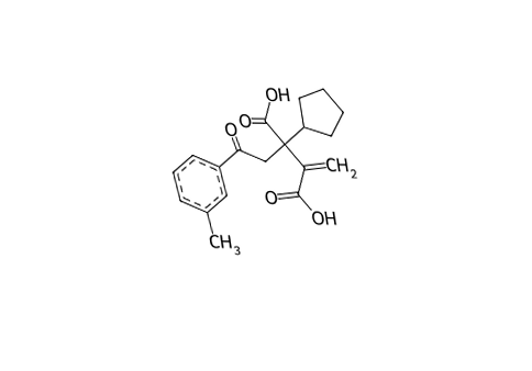 C=C(C(=O)O)C(CC(=O)c1cccc(C)c1)(C(=O)O)C1CCCC1